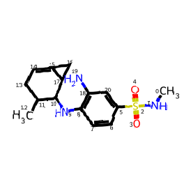 CNS(=O)(=O)c1ccc(NC2C(C)CC=C3CC32)c(N)c1